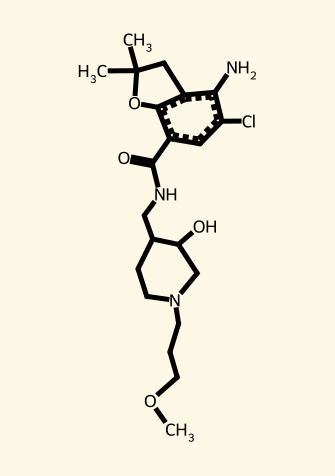 COCCCN1CCC(CNC(=O)c2cc(Cl)c(N)c3c2OC(C)(C)C3)C(O)C1